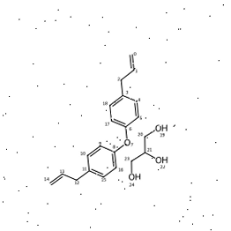 C=CCc1ccc(Oc2ccc(CC=C)cc2)cc1.OCC(O)CO